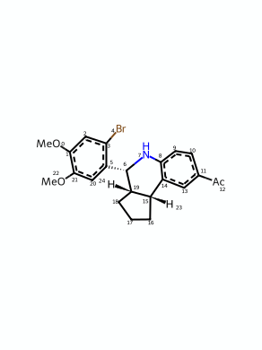 COc1cc(Br)c([C@@H]2Nc3ccc(C(C)=O)cc3[C@@H]3CCC[C@@H]32)cc1OC